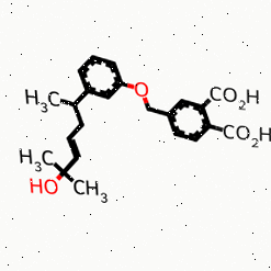 CC(C/C=C/C(C)(C)O)c1cccc(OCc2ccc(C(=O)O)c(C(=O)O)c2)c1